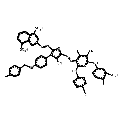 Cc1ccc(CNc2ccc(-c3c(/N=N/c4cc(S(=O)(=O)O)c5cccc(S(=O)(=O)O)c5c4)sc(N=Nc4c(Nc5ccc(Cl)cc5)nc(Nc5ccc(Cl)c(S(=O)(=O)O)c5)c(C#N)c4C)c3C#N)cc2)cc1